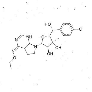 CCO/N=C1/N=CNC2C1CCN2[C@@H]1O[C@H]([C@H](O)c2ccc(Cl)cc2)[C@@](C)(O)[C@H]1O